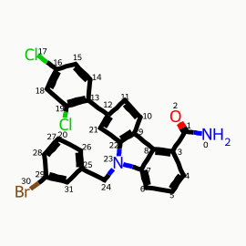 NC(=O)c1cccc2c1c1[c]cc(-c3ccc(Cl)cc3Cl)cc1n2Cc1cccc(Br)c1